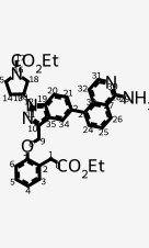 CCOC(=O)Cc1ccccc1OCc1nn([C@@H]2CCN(C(=O)OCC)C2)c2ccc(-c3cccc4c(N)nccc34)cc12